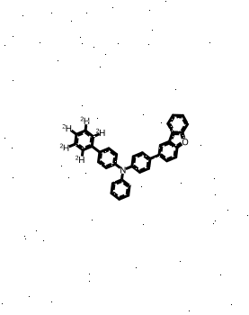 [2H]c1c([2H])c([2H])c(-c2ccc(N(c3ccccc3)c3ccc(-c4ccc5oc6ccccc6c5c4)cc3)cc2)c([2H])c1[2H]